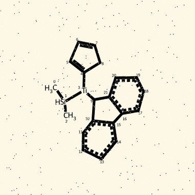 C[SiH](C)[Ti]([C]1=CC=CC1)[CH]1c2ccccc2-c2ccccc21